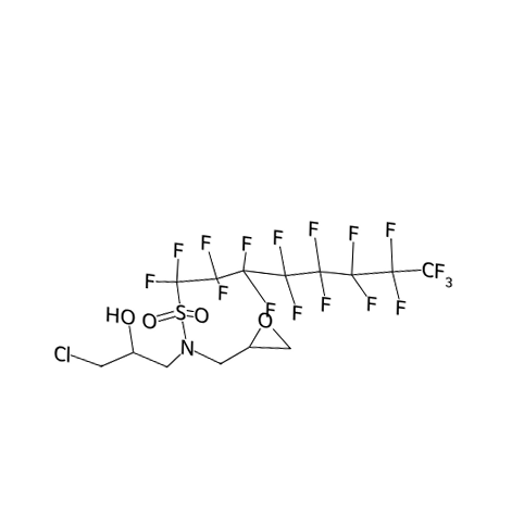 O=S(=O)(N(CC(O)CCl)CC1CO1)C(F)(F)C(F)(F)C(F)(F)C(F)(F)C(F)(F)C(F)(F)C(F)(F)C(F)(F)F